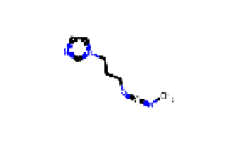 CN=C=NCCCn1ccnc1